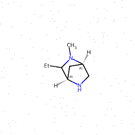 CCC1[C@H]2C[C@H](CN2)N1C